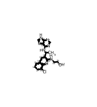 CC(Nc1ncnc2[nH]cnc12)c1cc2cccc(Cl)c2nc1NCCO